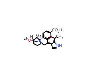 CCO[C@@H]1C[C@@]2(c3ccc(C(=O)O)cc3)CCC1CN2Cc1c(OC)cc(C)c2[nH]ccc12